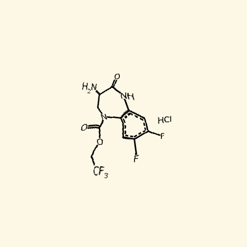 Cl.NC1CN(C(=O)OCC(F)(F)F)c2cc(F)c(F)cc2NC1=O